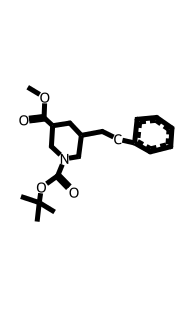 COC(=O)C1CC(CCc2ccccc2)CN(C(=O)OC(C)(C)C)C1